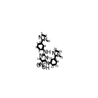 Cn1ccnc1-c1cccc(Nc2ncc([N+](=O)[O-])c(Nc3cccc(-c4nccn4C)c3)n2)c1